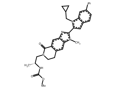 CC(C)c1ccc2cc(-c3nc4cc5c(cc4n3C)CCN(C[C@@H](C)NC(=O)OC(C)(C)C)C5=O)n(CC3CC3)c2c1